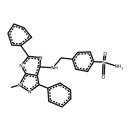 Cn1nc(-c2ccccc2)c2c(NCc3ccc(S(N)(=O)=O)cc3)nc(-c3ccccc3)nc21